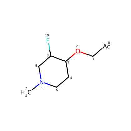 CC(=O)COC1CCN(C)CC1F